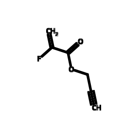 C#CCOC(=O)C(=C)F